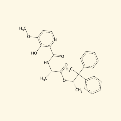 COc1ccnc(C(=O)N[C@@H](C)C(=O)O[C@@H](C)C(C)(c2ccccc2)c2ccccc2)c1O